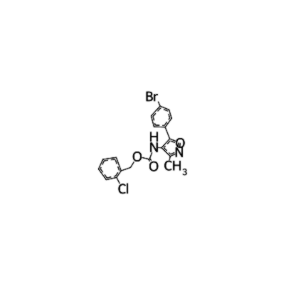 Cc1noc(-c2ccc(Br)cc2)c1NC(=O)OCc1ccccc1Cl